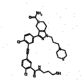 NC(=O)N1CCc2c(c(-c3ccc(Cl)c(C#Cc4ccc(Cl)c(C(=O)NCCCO)c4)c3)nn2CCCN2CCSCC2)C1